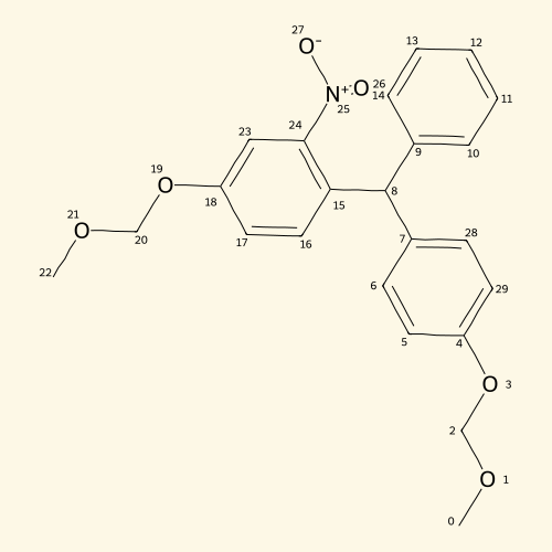 COCOc1ccc(C(c2ccccc2)c2ccc(OCOC)cc2[N+](=O)[O-])cc1